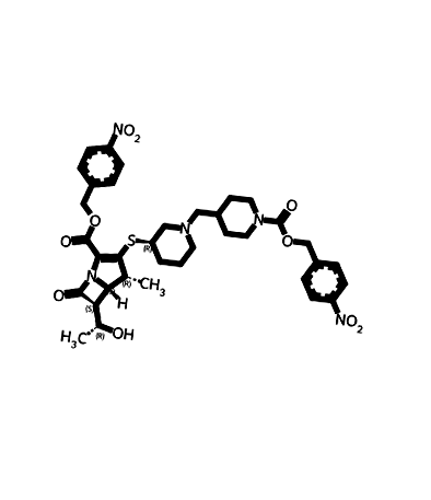 C[C@@H](O)[C@H]1C(=O)N2C(C(=O)OCc3ccc([N+](=O)[O-])cc3)=C(S[C@@H]3CCCN(CC4CCN(C(=O)OCc5ccc([N+](=O)[O-])cc5)CC4)C3)[C@H](C)[C@H]12